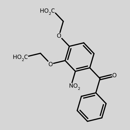 O=C(O)COc1ccc(C(=O)c2ccccc2)c([N+](=O)[O-])c1OCC(=O)O